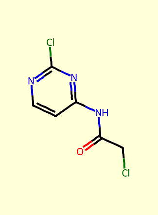 O=C(CCl)Nc1ccnc(Cl)n1